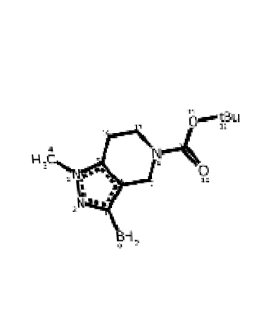 Bc1nn(C)c2c1CN(C(=O)OC(C)(C)C)CC2